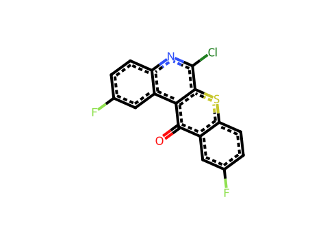 O=c1c2cc(F)ccc2sc2c(Cl)nc3ccc(F)cc3c12